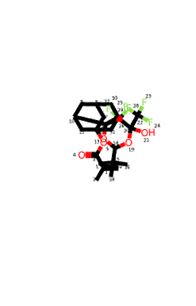 C=C(C)C(=O)OC12CC3CC(C1)C1(OC(C(C)(C)C)OC(O)(C(F)(F)F)C1(F)F)C(C3)C2